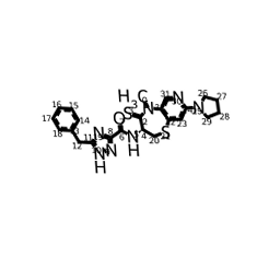 CN1C(=S)[C@@H](NC(=O)c2n[nH]c(Cc3ccccc3)n2)CSc2cc(N3CCCC3)ncc21